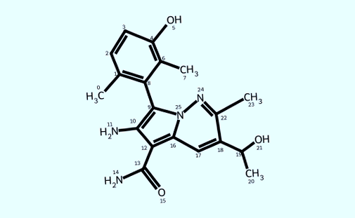 Cc1ccc(O)c(C)c1-c1c(N)c(C(N)=O)c2cc(C(C)O)c(C)nn12